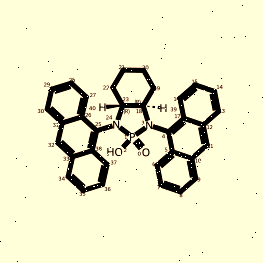 O=P1(O)N(c2c3ccccc3cc3ccccc23)[C@@H]2CCCC[C@H]2N1c1c2ccccc2cc2ccccc12